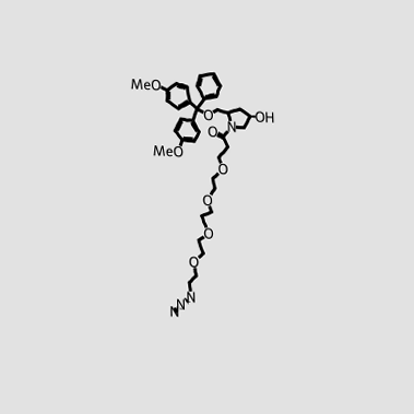 COc1ccc(C(OCC2C[C@@H](O)CN2C(=O)CCOCCOCCOCCOCCN=[N+]=[N-])(c2ccccc2)c2ccc(OC)cc2)cc1